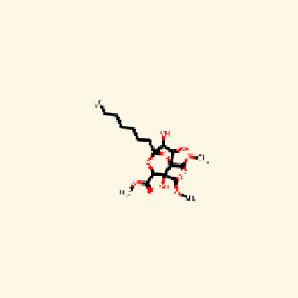 CCCCCCCC12OC(C(=O)OC)C(O)(C(=O)OC)C(C(=O)OC)(O1)C(O)C2O